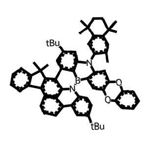 Cc1cc2c(cc1N1c3cc4c(cc3B3c5c(cc(C(C)(C)C)cc51)-c1c(ccc5c1C(C)(C)c1ccccc1-5)N3c1ccc(C(C)(C)C)cc1-c1ccccc1)Oc1ccccc1O4)C(C)(C)CCC2(C)C